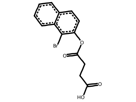 O=C(O)CCC(=O)Oc1ccc2ccccc2c1Br